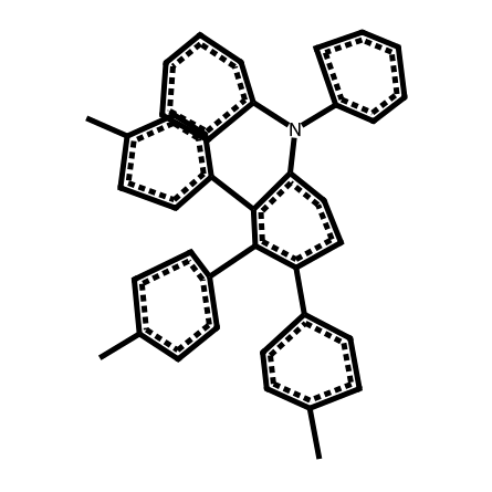 Cc1ccc(-c2ccc(N(c3ccccc3)c3ccccc3)c(-c3ccc(C)cc3)c2-c2ccc(C)cc2)cc1